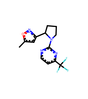 Cc1cc(C2CCCN2c2nccc(C(F)(F)F)n2)no1